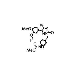 CCC1SC(=O)N(Cc2ccc(NC(=O)OC)cc2)N=C1c1ccc(OC)c(OCF)c1